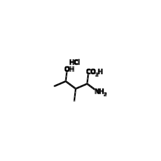 CC(O)C(C)C(N)C(=O)O.Cl